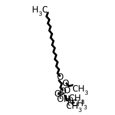 CCCCCCCCCCCCCCCCCCCOCC(COP(=O)(O)CC[N+](C)(C)C)OC(=O)CC